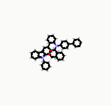 c1ccc(-c2ccc(N(c3ccccc3-c3ccc4c(c3)c3ccccc3n4-c3ccccc3)c3cccc4ccccc34)cc2)cc1